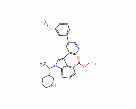 COC(=O)c1cccc2c1c(-c1cncc(-c3cccc(OC)c3)c1)cn2C(C)C1CCCNC1